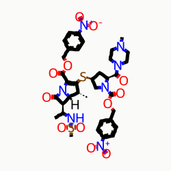 CC(NS(C)(=O)=O)[C@H]1C(=O)N2C(C(=O)OCc3ccc([N+](=O)[O-])cc3)=C(S[C@H]3C[C@@H](C(=O)N4CCN(C)CC4)N(C(=O)OCc4ccc([N+](=O)[O-])cc4)C3)[C@H](C)[C@H]12